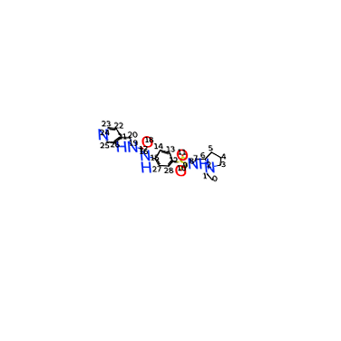 CCN1CCCC1CNS(=O)(=O)c1ccc(NC(=O)NCc2ccncc2)cc1